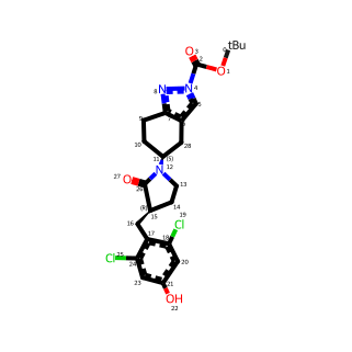 CC(C)(C)OC(=O)n1cc2c(n1)CC[C@H](N1CC[C@@H](Cc3c(Cl)cc(O)cc3Cl)C1=O)C2